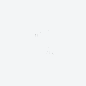 CN=S(C)(=O)c1ccc([N+](=O)[O-])cc1